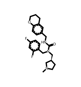 CN1CC[C@H](CN(Cc2ccc(F)cc2F)C(=O)NCc2ccc3c(c2)CCCO3)C1